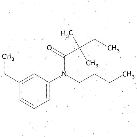 CCCCN(C(=O)C(C)(C)CC)c1cccc(CC)c1